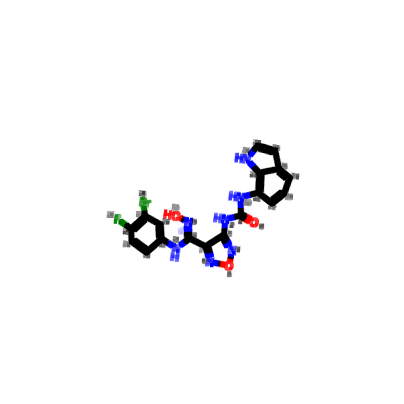 O=C(Nc1nonc1/C(=N/O)Nc1ccc(F)c(Br)c1)Nc1cccc2cc[nH]c12